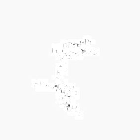 C=C(CCCCCCCCC(CCCCCCCCCC)OC(=C)C1CCN(C)CC1)CCCC(CCCC)C(CCC)CCC